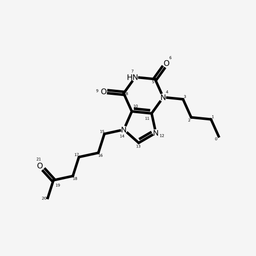 CCCCn1c(=O)[nH]c(=O)c2c1ncn2CCCCC(C)=O